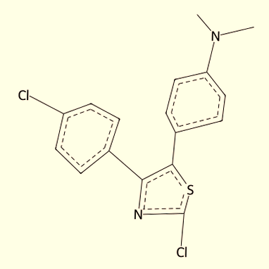 CN(C)c1ccc(-c2sc(Cl)nc2-c2ccc(Cl)cc2)cc1